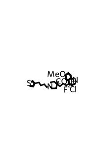 COc1ccc2ncc(Cl)c(C(F)CCC3(C(=O)O)CCN(CCCCc4ccsc4)CC3)c2c1